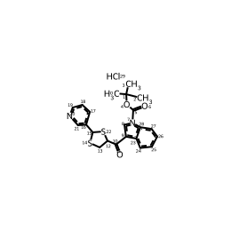 CC(C)(C)OC(=O)n1cc(C(=O)C2CSC(c3cccnc3)S2)c2ccccc21.Cl